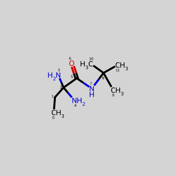 CCC(N)(N)C(=O)NC(C)(C)C